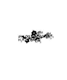 CC(C)C[C@H](N)C(=O)N1CCC[C@H]1C(=O)N(C)[C@@H](Cc1ccccc1)C(=O)O[C@H](C)[C@H](NC(=O)OC(C)(C)C)C(=O)OCOCC[Si](C)(C)C